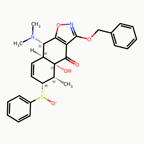 C[C@@H]1[C@H]([S+]([O-])c2ccccc2)C=C[C@H]2[C@H](N(C)C)c3onc(OCc4ccccc4)c3C(=O)[C@@]12O